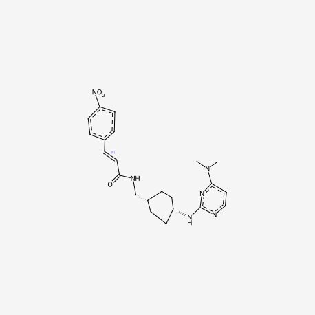 CN(C)c1ccnc(N[C@H]2CC[C@@H](CNC(=O)/C=C/c3ccc([N+](=O)[O-])cc3)CC2)n1